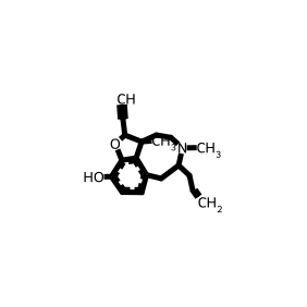 C#CC1Oc2c(O)ccc3c2C1(C)CCN(C)C(CC=C)C3